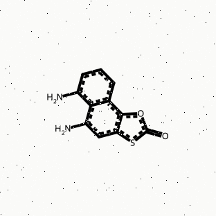 Nc1cccc2c1c(N)cc1sc(=O)oc12